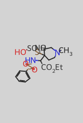 CCOC(=O)C(NS(=O)(=O)c1ccccc1)C1(SN=O)CCN(C)CC1.O=S(=O)(O)O